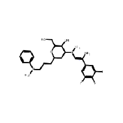 CN(CCCC1CC(N(N)/C=C(\N)c2cc(F)c(F)c(F)c2)C(O)C(CO)O1)c1ccccc1